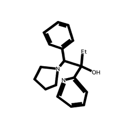 CCC(O)(c1ccccn1)C(c1ccccc1)N1CCCC1